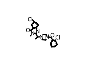 CC(c1nc2ccc(Cl)cc2c(=O)n1C)N1CCN(C(=O)c2ccccc2Cl)CC1